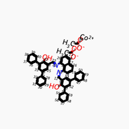 CC(=O)[O-].CC(=O)[O-].Oc1c(C=Nc2cccc3cccc(N=Cc4cc(-c5ccccc5)cc(-c5ccccc5)c4O)c23)cc(-c2ccccc2)cc1-c1ccccc1.[Co+2]